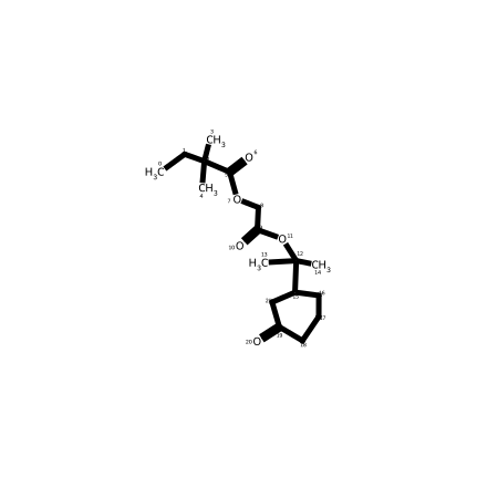 CCC(C)(C)C(=O)OCC(=O)OC(C)(C)C1CCCC(=O)C1